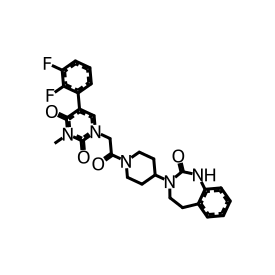 Cn1c(=O)c(-c2cccc(F)c2F)cn(CC(=O)N2CCC(N3CCc4ccccc4NC3=O)CC2)c1=O